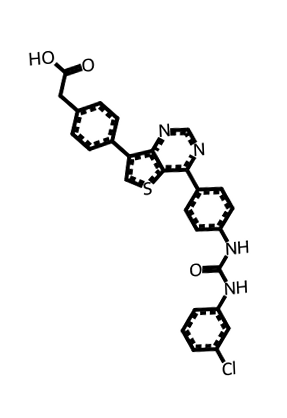 O=C(O)Cc1ccc(-c2csc3c(-c4ccc(NC(=O)Nc5cccc(Cl)c5)cc4)ncnc23)cc1